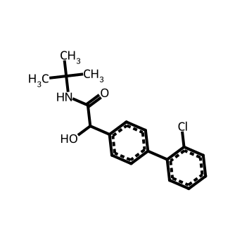 CC(C)(C)NC(=O)C(O)c1ccc(-c2ccccc2Cl)cc1